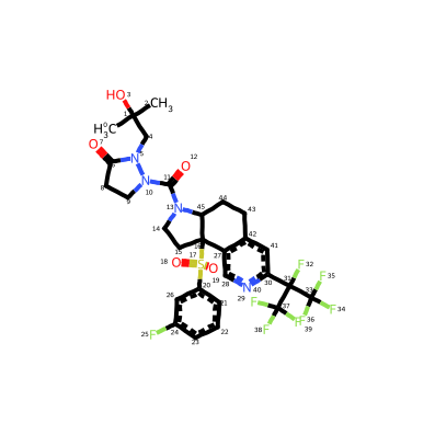 CC(C)(O)CN1C(=O)CCN1C(=O)N1CCC2(S(=O)(=O)c3cccc(F)c3)c3cnc(C(F)(C(F)(F)F)C(F)(F)F)cc3CCC12